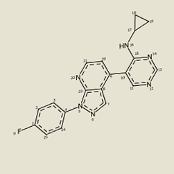 Fc1ccc(-n2ncc3c(-c4cncnc4NC4CC4)ccnc32)cc1